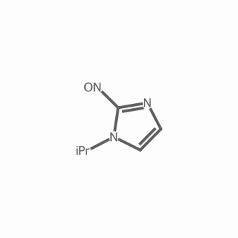 CC(C)n1ccnc1N=O